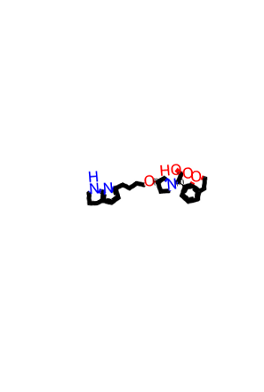 O=C(O)[C@H](c1cccc2c1OCC2)N1CC[C@@H](OCCCCc2ccc3c(n2)NCCC3)C1